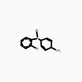 CCc1ccccc1N(CC)C1C=CC(C)C=C1